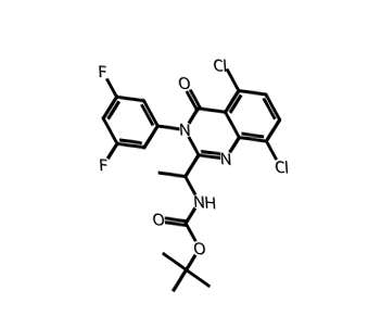 CC(NC(=O)OC(C)(C)C)c1nc2c(Cl)ccc(Cl)c2c(=O)n1-c1cc(F)cc(F)c1